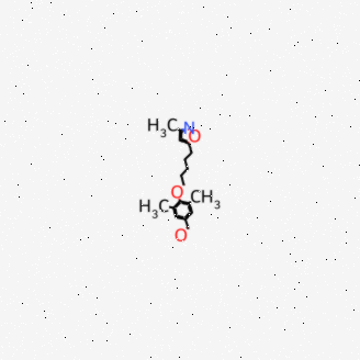 Cc1cc(CCCCCOc2c(C)cc(C=O)cc2C)on1